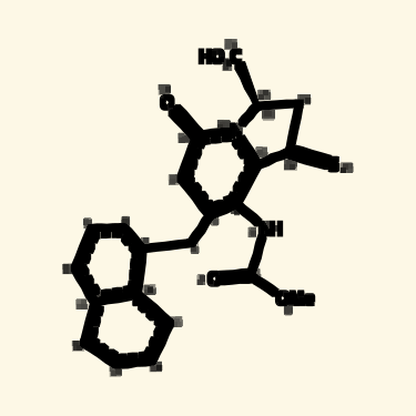 COC(=O)Nc1c(Cc2cccc3ccccc23)cc(=O)n2c1C(=S)C[C@@H]2C(=O)O